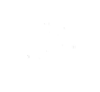 COC(=O)C(C)=C(C)CC(C)N